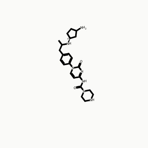 CC(Cc1ccc(-n2ccc(NC(=O)N3CCNCC3)nc2=O)cc1)N[C@H]1CCC(N)C1